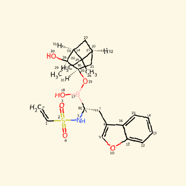 C=CS(=O)(=O)N[C@@H](Cc1coc2ccccc12)B(O)O[C@@H]1C[C@@H]2C[C@@H](C2(C)C)[C@]1(C)O